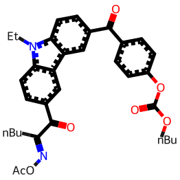 CCCCOC(=O)Oc1ccc(C(=O)c2ccc3c(c2)c2cc(C(=O)/C(CCCC)=N/OC(C)=O)ccc2n3CC)cc1